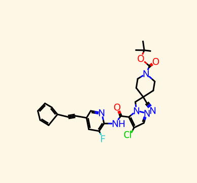 CC(C)(C)OC(=O)N1CCC(C#N)(Cn2ncc(Cl)c2C(=O)Nc2ncc(C#Cc3ccccc3)cc2F)CC1